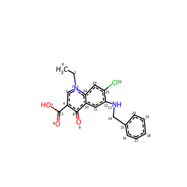 CCn1cc(C(=O)O)c(=O)c2cc(NCc3ccccc3)c(Cl)cc21